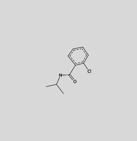 CC(C)[N]C(=O)c1ccccc1Cl